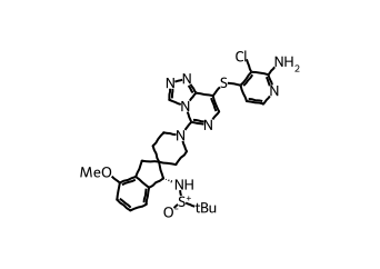 COc1cccc2c1CC1(CCN(c3ncc(Sc4ccnc(N)c4Cl)c4nncn34)CC1)[C@@H]2N[S+]([O-])C(C)(C)C